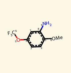 COc1ccc(OC(F)(F)F)cc1N